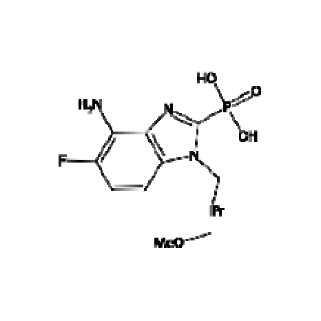 CC(C)Cn1c(P(=O)(O)O)nc2c(N)c(F)ccc21.COC